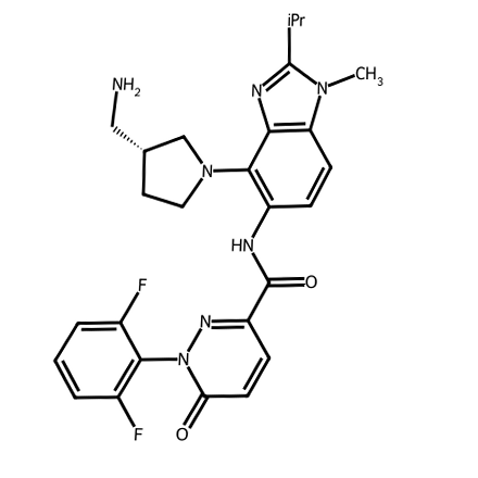 CC(C)c1nc2c(N3CC[C@H](CN)C3)c(NC(=O)c3ccc(=O)n(-c4c(F)cccc4F)n3)ccc2n1C